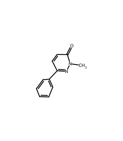 Cn1nc(-c2[c]cccc2)ccc1=O